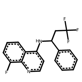 Fc1cccc2c(NC(CC(F)(F)F)c3ccccc3)ccnc12